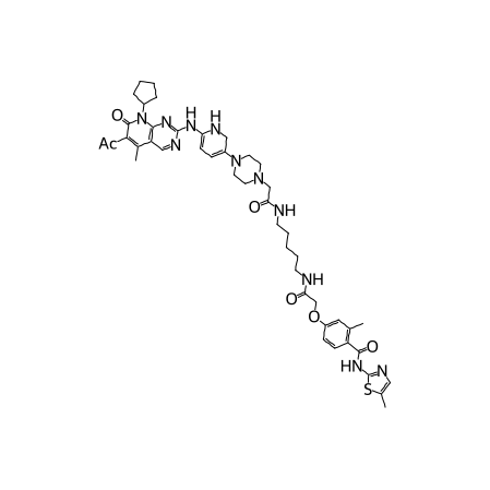 CC(=O)c1c(C)c2cnc(NC3=CC=C(N4CCN(CC(=O)NCCCCCNC(=O)COc5ccc(C(=O)Nc6ncc(C)s6)c(C)c5)CC4)CN3)nc2n(C2CCCC2)c1=O